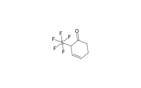 O=C1CCC=CC1S(F)(F)(F)(F)F